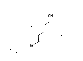 N#CCCCC[CH]Br